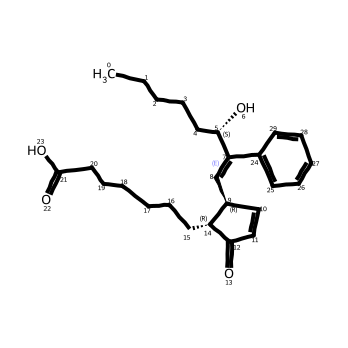 CCCCC[C@H](O)/C(=C/[C@H]1C=CC(=O)[C@@H]1CCCCCCC(=O)O)c1ccccc1